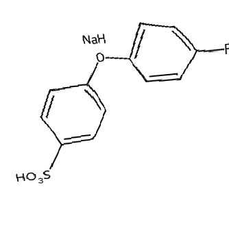 O=S(=O)(O)c1ccc(Oc2ccc(F)cc2)cc1.[NaH]